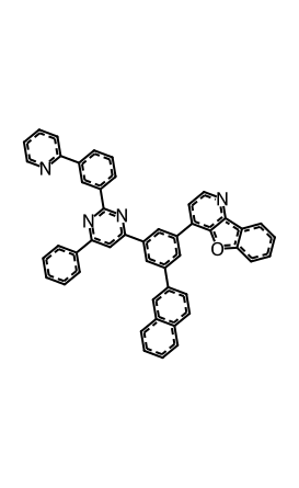 c1ccc(-c2cc(-c3cc(-c4ccc5ccccc5c4)cc(-c4ccnc5c4oc4ccccc45)c3)nc(-c3cccc(-c4ccccn4)c3)n2)cc1